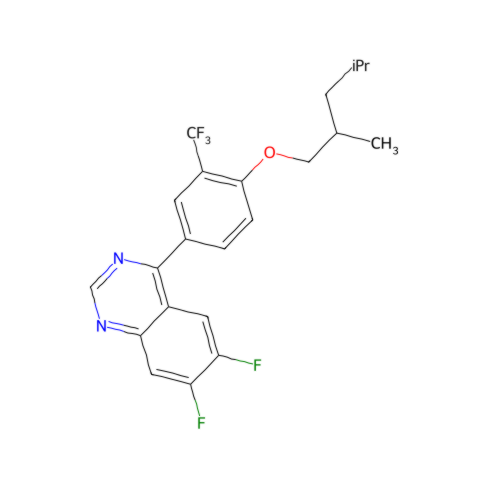 CC(C)CC(C)COc1ccc(-c2ncnc3cc(F)c(F)cc23)cc1C(F)(F)F